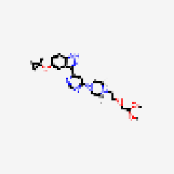 COC(COCCN1[C@H](C)CN(c2cc(-c3n[nH]c4ccc(OC5(C)CC5)cc34)ncn2)C[C@@H]1C)OC